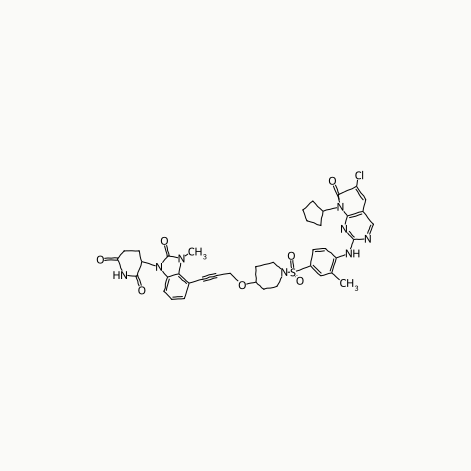 Cc1cc(S(=O)(=O)N2CCC(OCC#Cc3cccc4c3n(C)c(=O)n4C3CCC(=O)NC3=O)CC2)ccc1Nc1ncc2cc(Cl)c(=O)n(C3CCCC3)c2n1